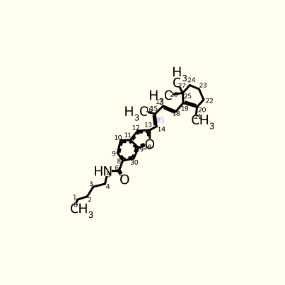 CCCCCNC(=O)c1ccc2cc(/C=C(\C)C=CC3=C(C)CCCC3(C)C)oc2c1